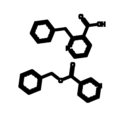 O=C(O)c1cccnc1Cc1ccccc1.O=C(OCc1ccccc1)c1cccnc1